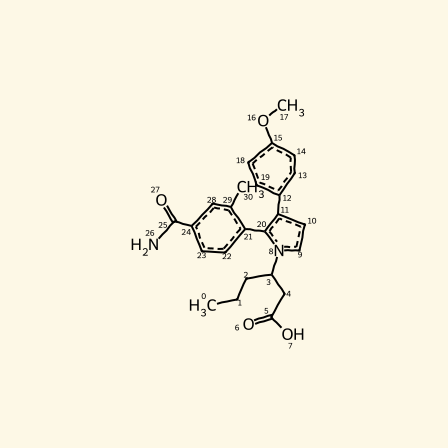 CCCC(CC(=O)O)n1ccc(-c2ccc(OC)cc2)c1-c1ccc(C(N)=O)cc1C